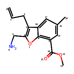 C=CCc1c(CN)oc2c(C(=O)OC)cc(C)cc12